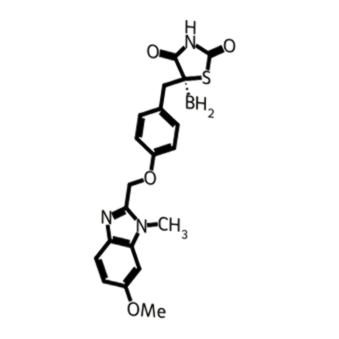 B[C@@]1(Cc2ccc(OCc3nc4ccc(OC)cc4n3C)cc2)SC(=O)NC1=O